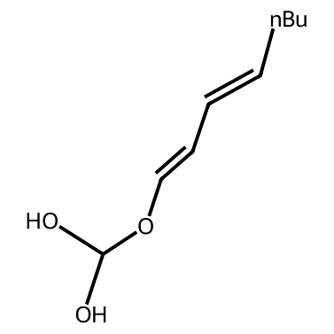 CCCCC=CC=COC(O)O